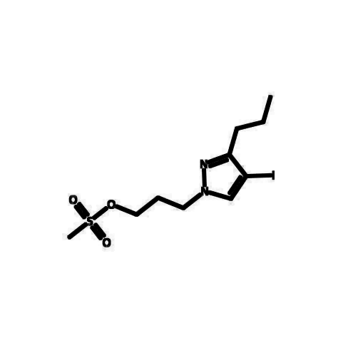 CCCc1nn(CCCOS(C)(=O)=O)cc1I